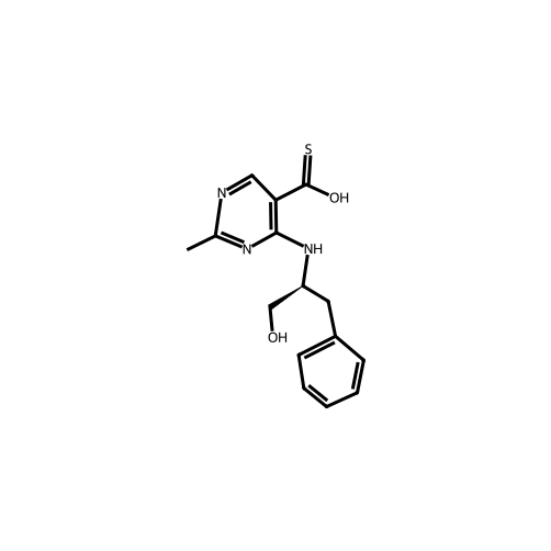 Cc1ncc(C(O)=S)c(N[C@H](CO)Cc2ccccc2)n1